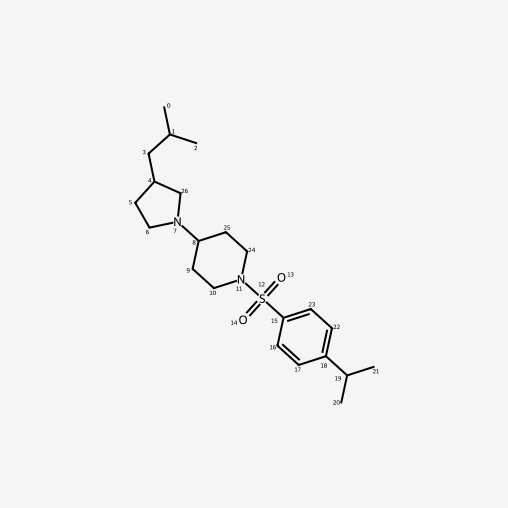 CC(C)CC1CCN(C2CCN(S(=O)(=O)c3ccc(C(C)C)cc3)CC2)C1